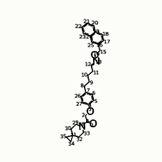 O=C(COc1ccc(CCCCC=NOCc2ccc3ccccc3c2)cc1)N1CCC2(CC1)CC2